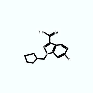 N=C(N)c1nn(CC2CCCC2)c2cc(Cl)ccc12